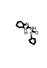 O=C(Nc1nc2ccccc2[nH]1)Sc1ccccc1